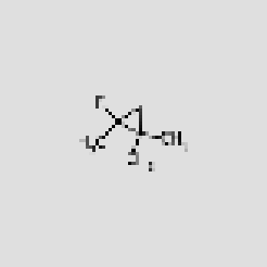 CC1(C)CC1(C)F